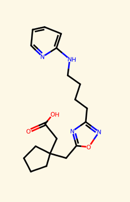 O=C(O)CC1(Cc2nc(CCCCNc3ccccn3)no2)CCCC1